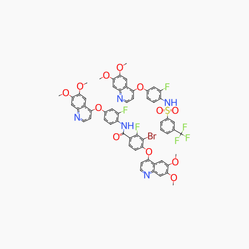 COc1cc2nccc(Oc3ccc(NC(=O)c4ccc(Oc5ccnc6cc(OC)c(OC)cc56)c(Br)c4F)c(F)c3)c2cc1OC.COc1cc2nccc(Oc3ccc(NS(=O)(=O)c4cccc(C(F)(F)F)c4)c(F)c3)c2cc1OC